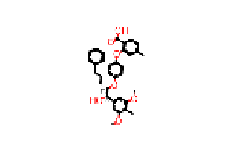 COc1cc([C@H](O)[C@H](CCCc2ccccc2)Oc2ccc(Oc3cc(C)ccc3C(=O)O)cc2)cc(OC)c1C